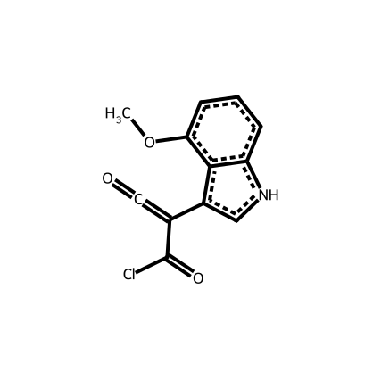 COc1cccc2[nH]cc(C(=C=O)C(=O)Cl)c12